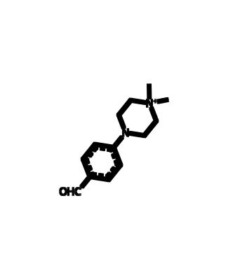 C[N+]1(C)CCN(c2ccc(C=O)cc2)CC1